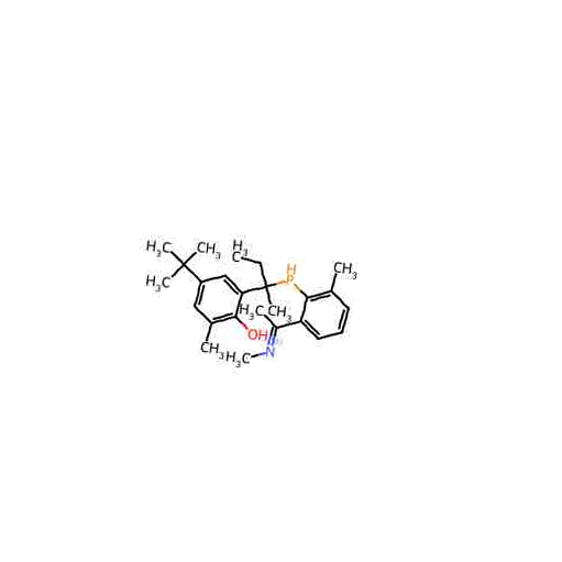 CCC(C)(Pc1c(C)cccc1/C(C)=N/C)c1cc(C(C)(C)C)cc(C)c1O